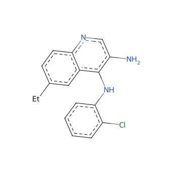 CCc1ccc2ncc(N)c(Nc3ccccc3Cl)c2c1